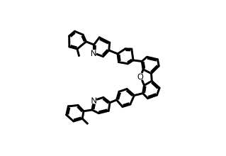 Cc1ccccc1-c1ccc(-c2ccc(-c3cccc4c3oc3c(-c5ccc(-c6ccc(-c7ccccc7C)nc6)cc5)cccc34)cc2)cn1